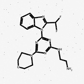 NCCNc1nc(N2CCOCC2)nc(-n2c(C(F)F)nc3ccccc32)n1